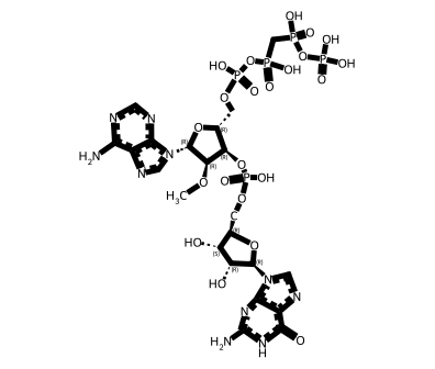 CO[C@@H]1[C@H](OP(=O)(O)OC[C@H]2O[C@@H](n3cnc4c(=O)[nH]c(N)nc43)[C@H](O)[C@@H]2O)[C@@H](COP(=O)(O)OP(=O)(O)CP(=O)(O)OP(=O)(O)O)O[C@H]1n1cnc2c(N)ncnc21